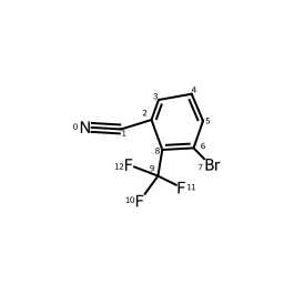 N#Cc1cccc(Br)c1C(F)(F)F